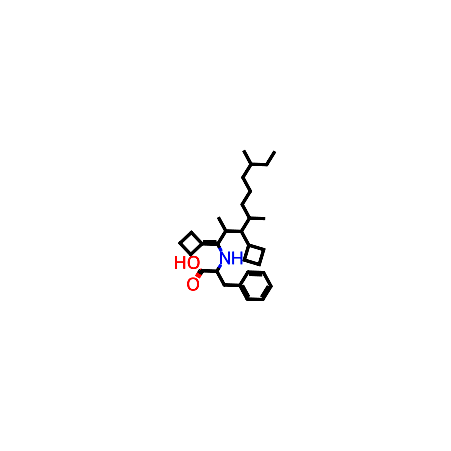 CCC(C)CCCC(C)C(C1CCC1)C(C)C(NC(Cc1ccccc1)C(=O)O)=C1CCC1